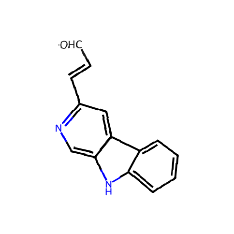 O=[C]C=Cc1cc2c(cn1)[nH]c1ccccc12